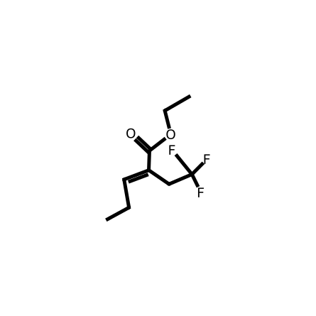 CC/C=C(\CC(F)(F)F)C(=O)OCC